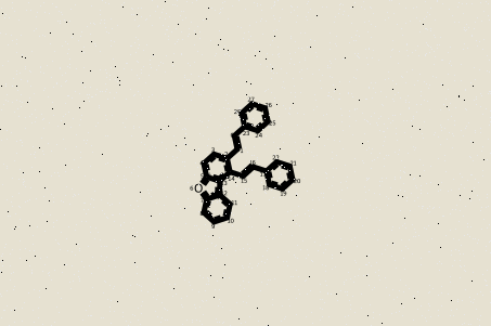 C(=C\c1ccc2oc3ccccc3c2c1/C=C/c1ccccc1)/c1ccccc1